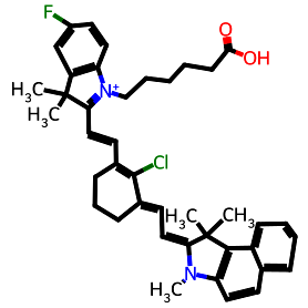 CN1/C(=C/C=C2\CCCC(/C=C/C3=[N+](CCCCCC(=O)O)c4ccc(F)cc4C3(C)C)=C2Cl)C(C)(C)c2c1ccc1ccccc21